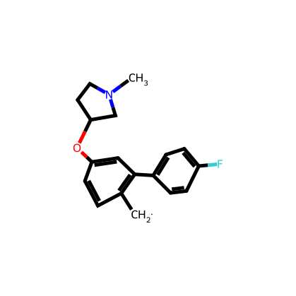 [CH2]c1ccc(OC2CCN(C)C2)cc1-c1ccc(F)cc1